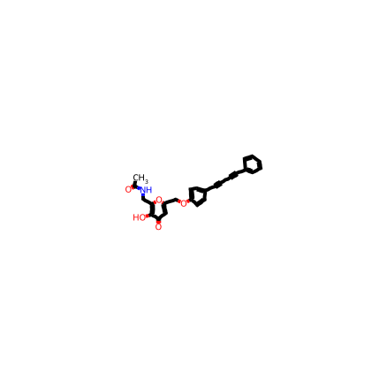 CC(=O)NCc1oc(COc2ccc(C#CC#Cc3ccccc3)cc2)cc(=O)c1O